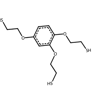 SCCOc1ccc(OCCS)c(OCCS)c1